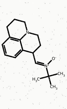 CC(C)(C)[N+]([O-])=CC1CCN2CCCc3cccc1c32